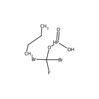 CCCC.O=[PH](O)OC(F)(Br)Br